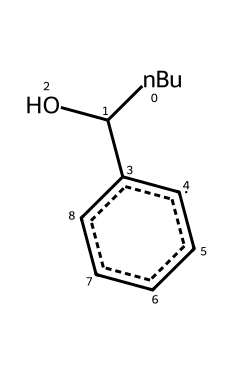 CCCCC(O)c1[c]cccc1